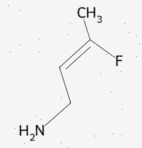 CC(F)=CCN